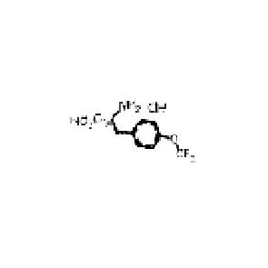 Cl.N[C@H](Cc1ccc(OC(F)(F)F)cc1)C(=O)O